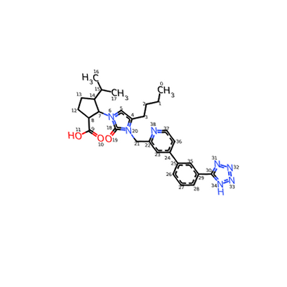 CCCCc1cn(C2C(C(=O)O)CCC2C(C)C)c(=O)n1Cc1cc(-c2cccc(-c3nnn[nH]3)c2)ccn1